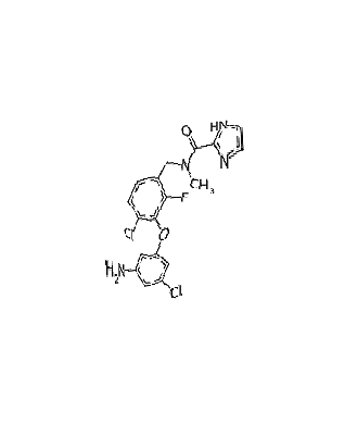 CN(Cc1ccc(Cl)c(Oc2cc(N)cc(Cl)c2)c1F)C(=O)c1ncc[nH]1